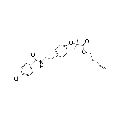 C=CCCCOC(=O)C(C)(C)Oc1ccc(CCNC(=O)c2ccc(Cl)cc2)cc1